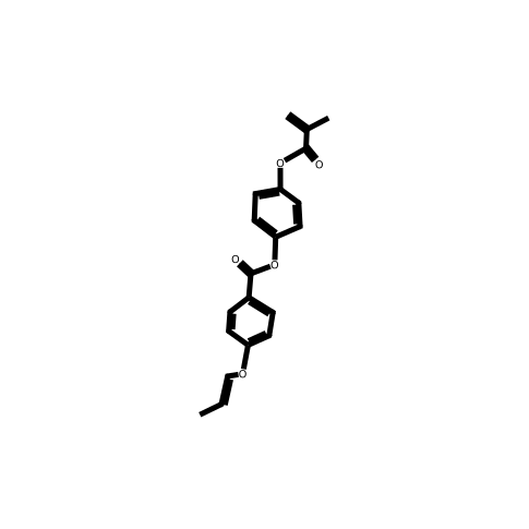 C=C(C)C(=O)Oc1ccc(OC(=O)c2ccc(OC=CC)cc2)cc1